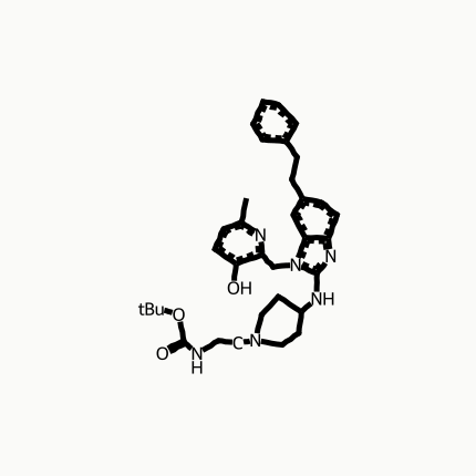 Cc1ccc(O)c(Cn2c(NC3CCN(CCNC(=O)OC(C)(C)C)CC3)nc3ccc(CCc4ccccc4)cc32)n1